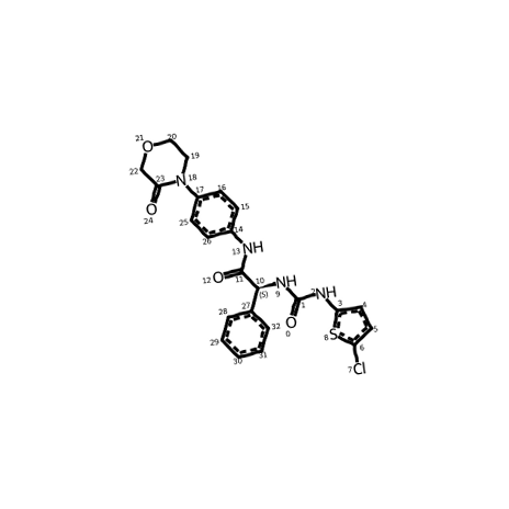 O=C(Nc1ccc(Cl)s1)N[C@H](C(=O)Nc1ccc(N2CCOCC2=O)cc1)c1ccccc1